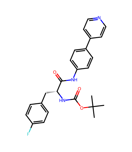 CC(C)(C)OC(=O)N[C@H](Cc1ccc(F)cc1)C(=O)Nc1ccc(-c2ccncc2)cc1